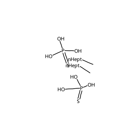 CCCCCCCC.CCCCCCCC.OP(O)(O)=S.OP(O)(O)=S